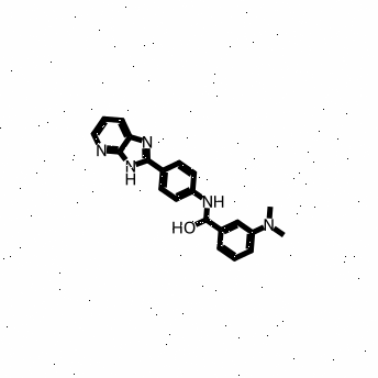 CN(C)c1cccc(C(O)Nc2ccc(-c3nc4cccnc4[nH]3)cc2)c1